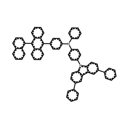 c1ccc(-c2ccc3c(c2)c2cc(-c4ccccc4)ccc2n3-c2ccc(N(c3ccccc3)c3ccc(-c4c5ccccc5c(-c5cccc6ccccc56)c5ccccc45)cc3)cc2)cc1